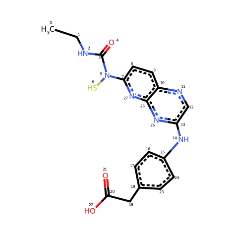 CCNC(=O)N(S)c1ccc2ncc(Nc3ccc(CC(=O)O)cc3)nc2n1